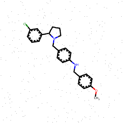 COc1ccc(CNc2ccc(CN3CCCC3c3cccc(Cl)c3)cc2)cc1